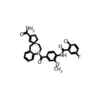 COc1cc(C(=O)N2CC[C@]3(C=C(C(N)=O)CC3)Cc3ccccc32)ccc1NC(=O)c1cc(F)ccc1Cl